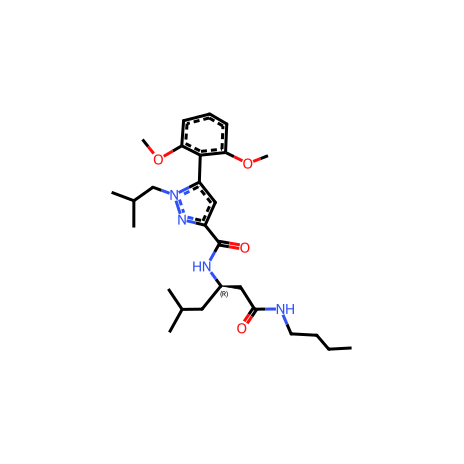 CCCCNC(=O)C[C@@H](CC(C)C)NC(=O)c1cc(-c2c(OC)cccc2OC)n(CC(C)C)n1